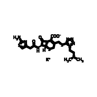 CN(C)CCn1nnnc1SCC1=C(C(=O)[O-])N2C(=O)[C@@H](NC(=O)Cc3csc(N)n3)[C@H]2SC1.[K+]